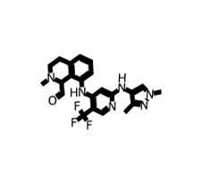 Cc1nn(C)cc1Nc1cc(Nc2cccc3c2C(C=O)N(C)CC3)c(C(F)(F)F)cn1